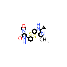 Cc1ccc(C(Nc2ccc3c(c2)Sc2cccc(-c4cc(N5CCOCC5)cc(=O)[nH]4)c2S3)C2CC2)nc1